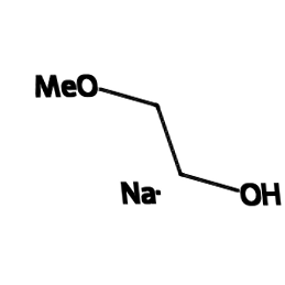 COCCO.[Na]